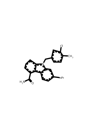 CCCc1c[c]c2c3c(C(N)=O)cccc3n(Cc3ccc(C)c(Cl)c3)c2c1